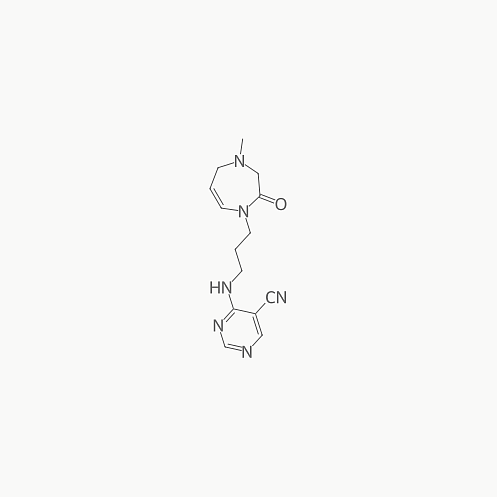 CN1CC=CN(CCCNc2ncncc2C#N)C(=O)C1